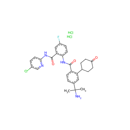 CC(C)(N)c1ccc(C(=O)Nc2ccc(F)cc2C(=O)Nc2ccc(Cl)cn2)c(C2CCC(=O)CC2)c1.Cl.Cl